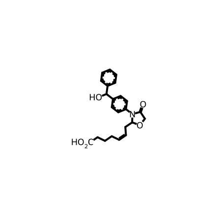 O=C(O)CCC/C=C\CC1OCC(=O)N1c1ccc(C(O)c2ccccc2)cc1